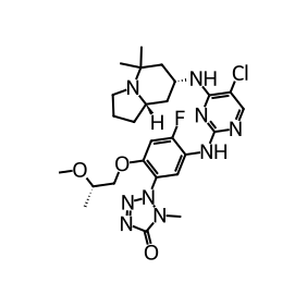 CO[C@@H](C)COc1cc(F)c(Nc2ncc(Cl)c(N[C@@H]3C[C@@H]4CCCN4C(C)(C)C3)n2)cc1-n1nnc(=O)n1C